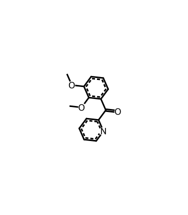 COc1cccc(C(=O)c2ccccn2)c1OC